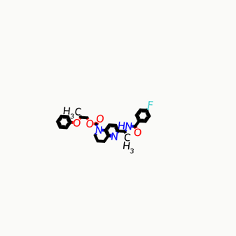 CC(COC(=O)N1CCCc2nc(C(C)NC(=O)c3ccc(F)cc3)ccc21)Oc1ccccc1